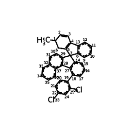 CC1C=CC2=C(C1)C1(c3ccccc32)c2cccc(-c3ccc(Cl)cc3Cl)c2-c2c1ccc1ccccc21